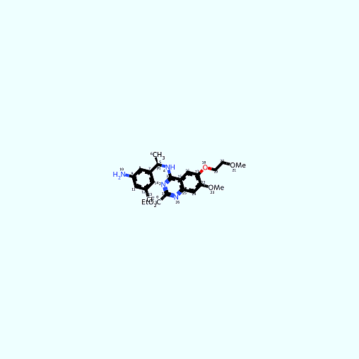 CCOC(=O)c1nc(N[C@H](C)c2cc(N)cc(C(F)(F)F)c2)c2cc(OCCOC)c(OC)cc2n1